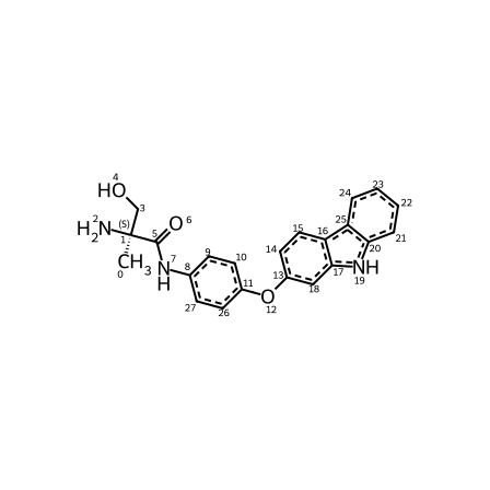 C[C@](N)(CO)C(=O)Nc1ccc(Oc2ccc3c(c2)[nH]c2ccccc23)cc1